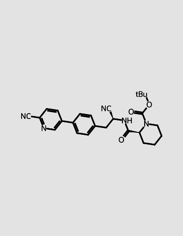 CC(C)(C)OC(=O)N1CCCC[C@H]1C(=O)N[C@H](C#N)Cc1ccc(-c2ccc(C#N)nc2)cc1